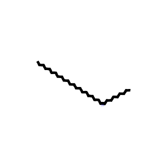 CCCCCCCC/C=C\CCCCCCCC[CH]CCCCCCCCCCCC